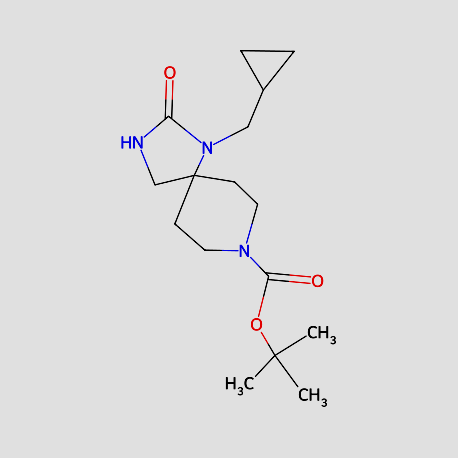 CC(C)(C)OC(=O)N1CCC2(CC1)CNC(=O)N2CC1CC1